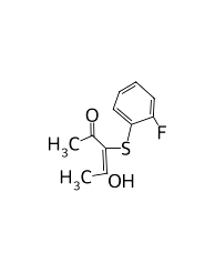 CC(=O)C(Sc1ccccc1F)=C(C)O